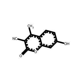 Cc1c(C#N)c(=O)oc2cc(O)ccc12